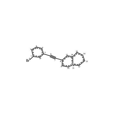 Brc1cccc(C#Cc2cc[n+]3ccccc3c2)c1